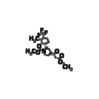 CCOC(=O)CC(=O)[C@@H]1CCN(C(=O)OC)[C@H](c2ccc(C(F)(F)F)c(C)c2)C1